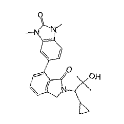 Cn1c(=O)n(C)c2cc(-c3cccc4c3C(=O)N(C(C3CC3)C(C)(C)O)C4)ccc21